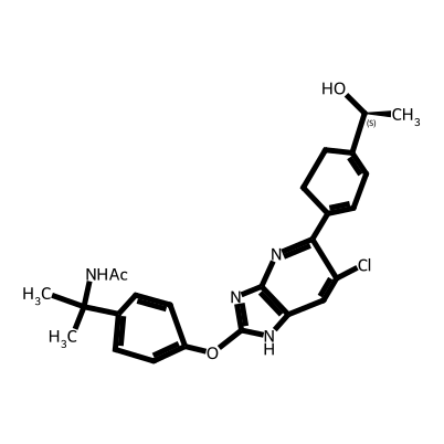 CC(=O)NC(C)(C)c1ccc(Oc2nc3nc(C4=CC=C([C@H](C)O)CC4)c(Cl)cc3[nH]2)cc1